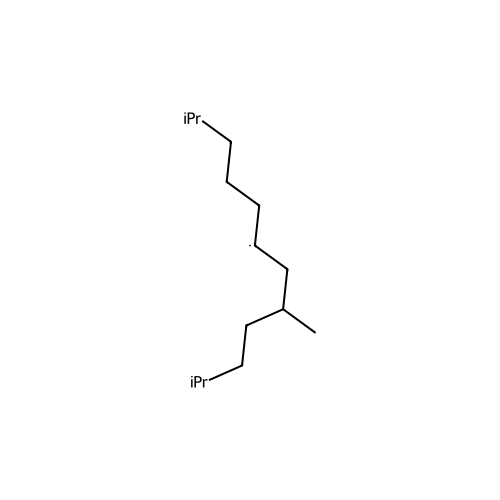 CC(C)CCC[CH]CC(C)CCC(C)C